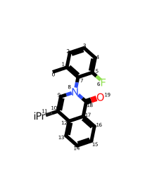 Cc1cccc(F)c1-n1cc(C(C)C)c2ccccc2c1=O